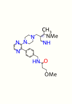 CN/C(C)=C(\C=N)CN1CCN(c2nccnc2-c2ccc(CNC(=O)CCOC)cc2)CC1